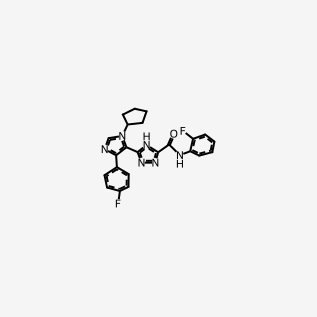 O=C(Nc1ccccc1F)c1nnc(-c2c(-c3ccc(F)cc3)ncn2C2CCCC2)[nH]1